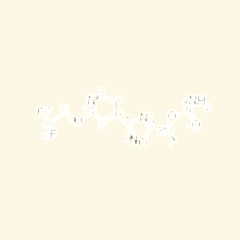 C[C@H](OC(N)=O)c1nc(-c2ccnc(OCC(F)F)c2)no1